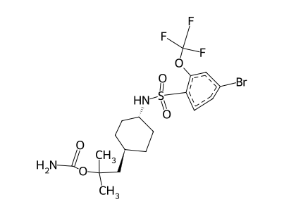 CC(C)(C[C@H]1CC[C@H](NS(=O)(=O)c2ccc(Br)cc2OC(F)(F)F)CC1)OC(N)=O